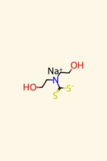 OCCN(CCO)C(=S)[S-].[Na+]